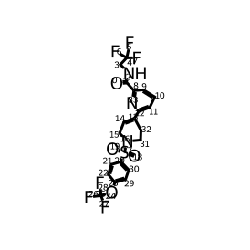 O=C(NCC(F)(F)F)c1cccc(C2=CCN(S(=O)(=O)c3ccc(OC(F)(F)F)cc3)CC2)n1